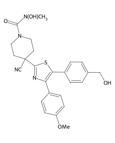 COc1ccc(-c2nc(C3(C#N)CCN(C(=O)N(C)O)CC3)sc2-c2ccc(CO)cc2)cc1